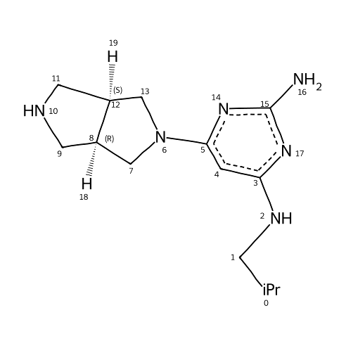 CC(C)CNc1cc(N2C[C@H]3CNC[C@H]3C2)nc(N)n1